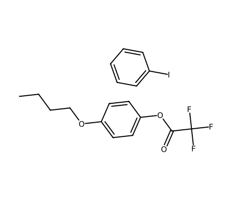 CCCCOc1ccc(OC(=O)C(F)(F)F)cc1.Ic1ccccc1